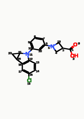 O=C(O)C1CN(c2cccc(N3c4ccc(Cl)cc4C4CC43)c2)C1